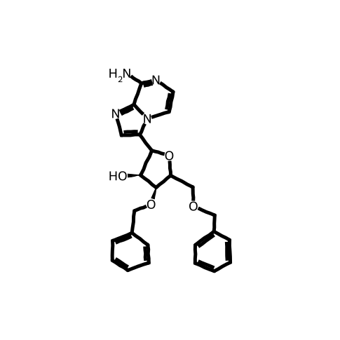 Nc1nccn2c(C3OC(COCc4ccccc4)[C@@H](OCc4ccccc4)[C@H]3O)cnc12